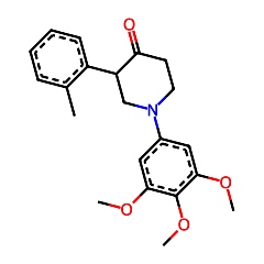 COc1cc(N2CCC(=O)C(c3ccccc3C)C2)cc(OC)c1OC